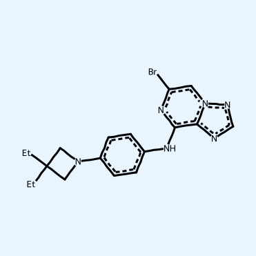 CCC1(CC)CN(c2ccc(Nc3nc(Br)cn4ncnc34)cc2)C1